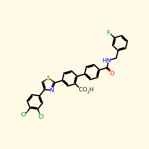 O=C(NCc1cccc(F)c1)c1ccc(-c2ccc(-c3nc(-c4ccc(Cl)c(Cl)c4)cs3)cc2C(=O)O)cc1